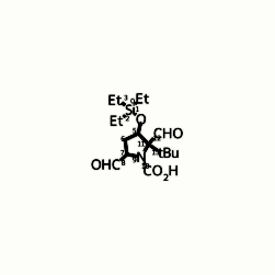 CC[Si](CC)(CC)OC1CC(C=O)N(C(=O)O)C1(C=O)C(C)(C)C